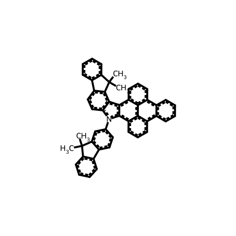 CC1(C)c2ccccc2-c2ccc(-n3c4ccc5c(c4c4c6cccc7c8ccccc8c8cccc(c8c76)c43)C(C)(C)c3ccccc3-5)cc21